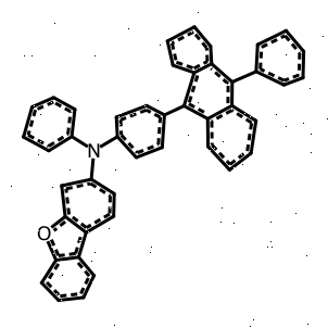 c1ccc(-c2c3ccccc3c(-c3ccc(N(c4ccccc4)c4ccc5c(c4)oc4ccccc45)cc3)c3ccccc23)cc1